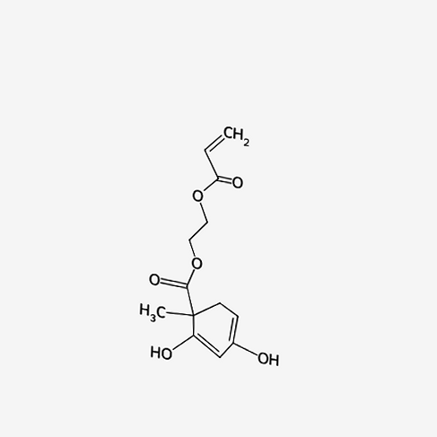 C=CC(=O)OCCOC(=O)C1(C)CC=C(O)C=C1O